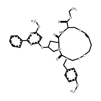 CCOC(=O)C1CCC=CCCCCCN(Cc2ccc(OC)cc2)C(=O)[N+]2CC(Oc3cc(OC)nc(-c4ccccc4)n3)CC2C(=O)N1